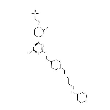 CC1CN(c2nc(N)nc(NCC3CCC(CNCCCNC4CCCCC4)CC3)n2)CCN1CCP(=O)(O)O